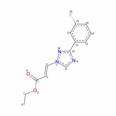 CCOC(=O)/C=C/n1cnc(-c2cccc(F)c2)n1